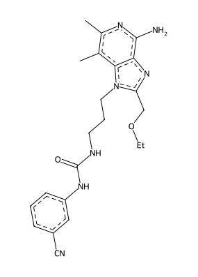 CCOCc1nc2c(N)nc(C)c(C)c2n1CCCNC(=O)Nc1cccc(C#N)c1